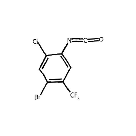 O=C=Nc1cc(C(F)(F)F)c(Br)cc1Cl